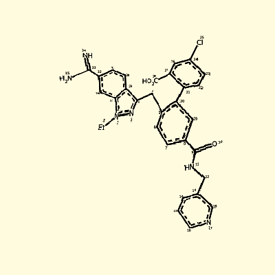 CCn1nc(Cc2ccc(C(=O)NCc3cccnc3)cc2-c2ccc(Cl)cc2C(=O)O)c2ccc(C(=N)N)cc21